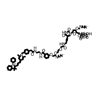 CC1=CC(=C/C=C/C2=[N+](c3ccccc3)c3ccccc3C2(C)C)C=C(C)N1Cc1ccc(CC(=O)NCCNC(=O)c2cccc(OCC(N=[N+]=[N-])OCCOCC(=O)NCC#Cc3cn(C4CC(OCN=[N+]=[N-])C(COP(=O)([O-])OP(=O)(O)O)O4)c(=O)[nH]c3=O)c2)cc1